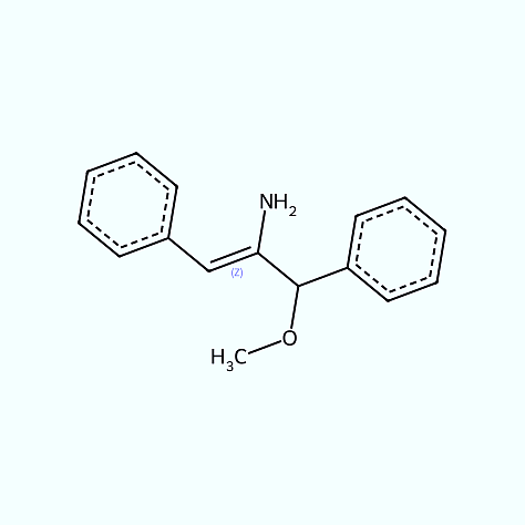 COC(/C(N)=C/c1ccccc1)c1ccccc1